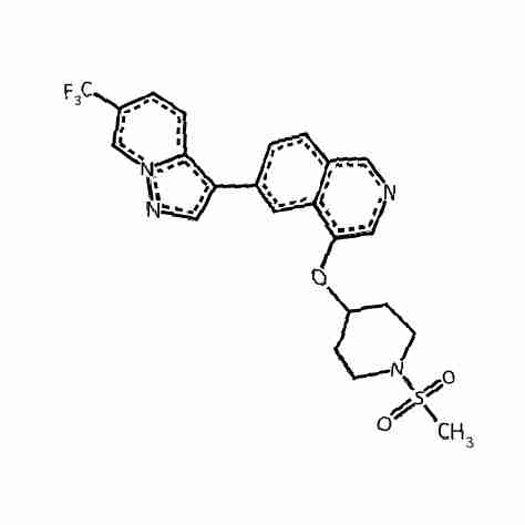 CS(=O)(=O)N1CCC(Oc2cncc3ccc(-c4cnn5cc(C(F)(F)F)ccc45)cc23)CC1